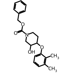 Cc1cccc(OC2CCN(C(=O)OCc3ccccc3)CC2O)c1C